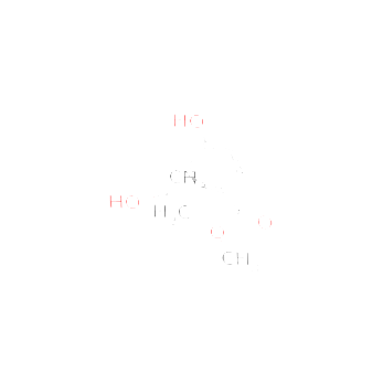 CC(C)O.COC(=O)c1ccc(O)cc1